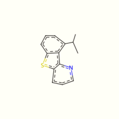 CC(C)c1cccc2sc3cccnc3c12